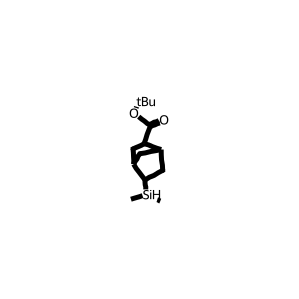 C[SiH](C)C1CC2CC1CC2C(=O)OC(C)(C)C